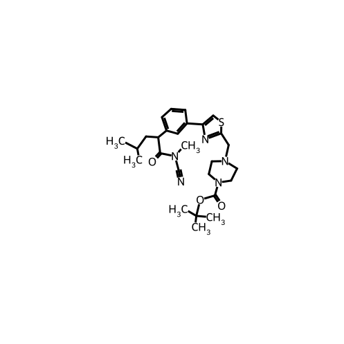 CC(C)CC(C(=O)N(C)C#N)c1cccc(-c2csc(CN3CCN(C(=O)OC(C)(C)C)CC3)n2)c1